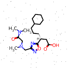 CN(CC(=O)N(C)C)Cc1noc([C@H](CCCC2CCCCC2)CC(=O)O)n1